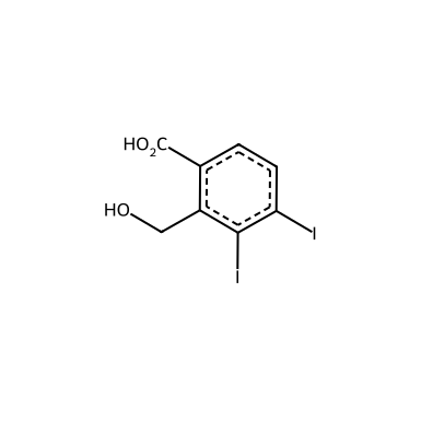 O=C(O)c1ccc(I)c(I)c1CO